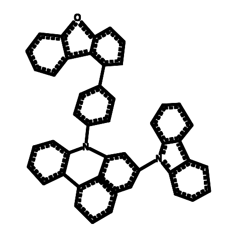 c1ccc(-c2ccccc2N(c2ccc(-c3cccc4oc5ccccc5c34)cc2)c2cccc(-n3c4ccccc4c4ccccc43)c2)cc1